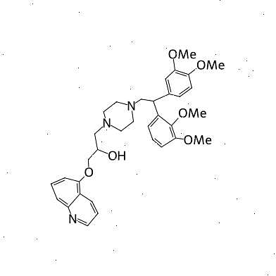 COc1ccc(C(CN2CCN(CC(O)COc3cccc4ncccc34)CC2)c2cccc(OC)c2OC)cc1OC